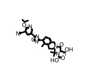 Cc1c(-c2noc(-c3cnc(OC(C)C)c(C#N)c3)n2)ccc2c1CCN(C(=O)[C@H]([C@@H](C)O)N(C(=O)O)C(C)(C)C)C2